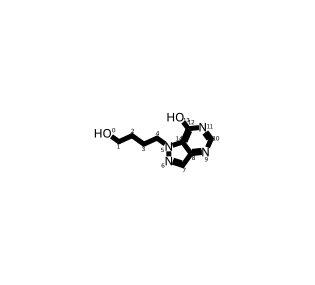 OCCCCn1ncc2ncnc(O)c21